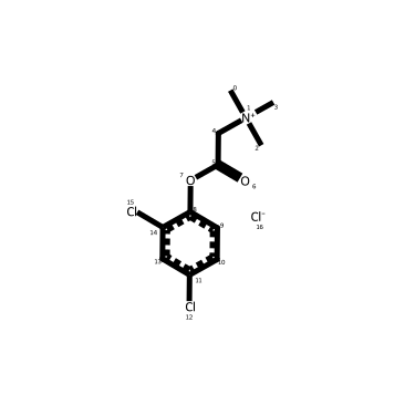 C[N+](C)(C)CC(=O)Oc1ccc(Cl)cc1Cl.[Cl-]